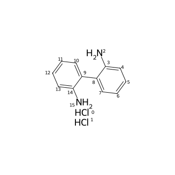 Cl.Cl.Nc1ccccc1-c1ccccc1N